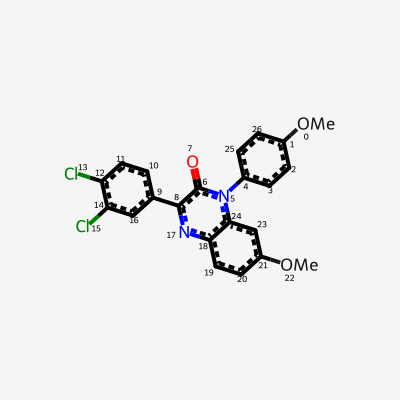 COc1ccc(-n2c(=O)c(-c3ccc(Cl)c(Cl)c3)nc3ccc(OC)cc32)cc1